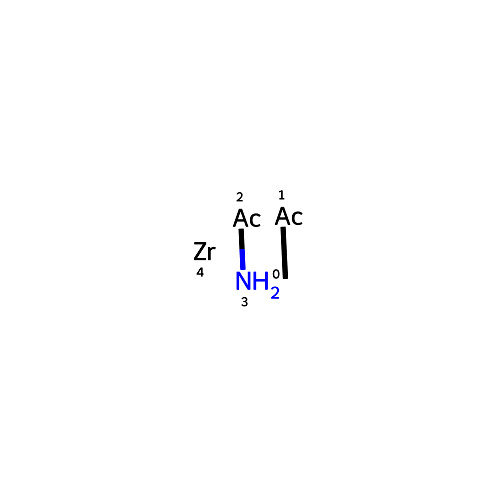 CC(C)=O.CC(N)=O.[Zr]